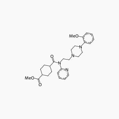 COC(=O)C1CCC(C(=O)N(CCN2CCN(c3ccccc3OC)CC2)c2ccccn2)CC1